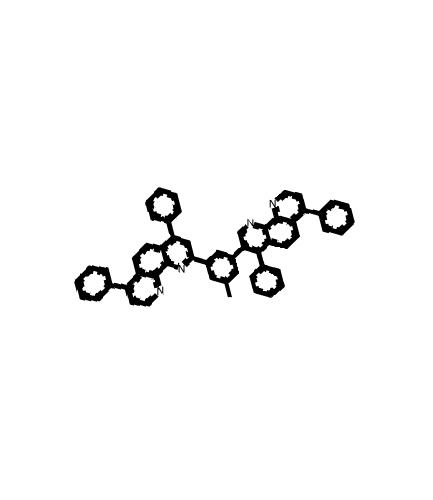 Cc1cc(-c2cc(-c3ccccc3)c3ccc4c(-c5ccccc5)ccnc4c3n2)cc(-c2cnc3c(ccc4c(-c5ccccc5)ccnc43)c2-c2ccccc2)c1